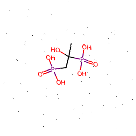 CC(O)(CP(=O)(O)O)P(=O)(O)O